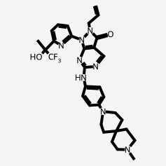 C=CCn1c(=O)c2cnc(Nc3ccc(N4CCC5(CCN(C)CC5)CC4)cc3)nc2n1-c1cccc(C(C)(O)C(F)(F)F)n1